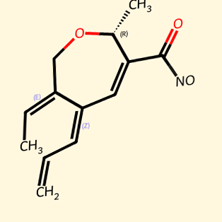 C=C/C=C1/C=C(C(=O)N=O)[C@@H](C)OC/C1=C/C